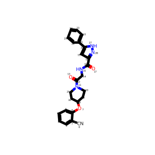 N#Cc1ccccc1OC1CCN(C(=O)CNC(=O)c2cc(-c3ccccc3)[nH]n2)CC1